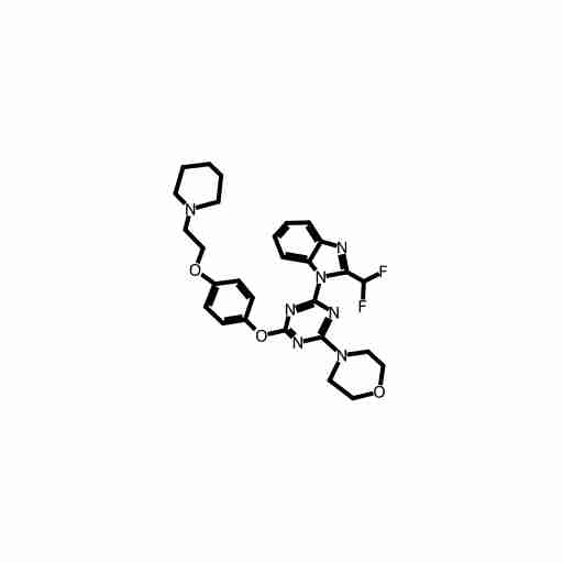 FC(F)c1nc2ccccc2n1-c1nc(Oc2ccc(OCCN3CCCCC3)cc2)nc(N2CCOCC2)n1